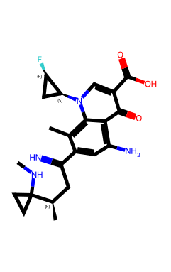 CNC1([C@H](C)CC(=N)c2cc(N)c3c(=O)c(C(=O)O)cn([C@H]4C[C@H]4F)c3c2C)CC1